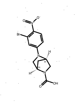 O=C(O)N1C[C@H]2C[C@@H]1CN2c1ccc([N+](=O)[O-])c(Br)c1